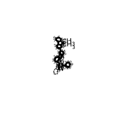 CC1(C)c2ccccc2-c2ccc(-c3ccc4oc5c(-c6nc(Cl)nc(-c7ccccc7)n6)cccc5c4c3)cc21